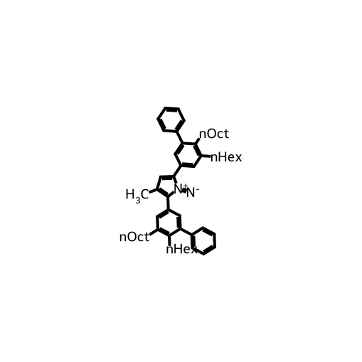 CCCCCCCCc1cc(C2=C(C)C=C(c3cc(CCCCCC)c(CCCCCCCC)c(-c4ccccc4)c3)[N+]2=[N-])cc(-c2ccccc2)c1CCCCCC